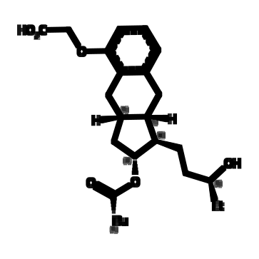 CC[C@H](O)CC[C@@H]1[C@H]2Cc3cccc(OCC(=O)O)c3C[C@H]2C[C@H]1OC(=O)[C@@H](C)CC